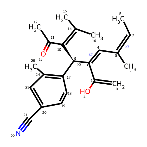 C=C(O)/C(=C\C(C)=C/C)[C@H](C(C(C)=O)=C(C)C)c1ccc(C#N)cc1C